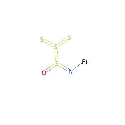 CCN=S(=O)=S(=S)=S